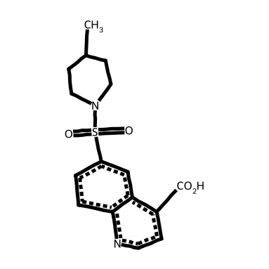 CC1CCN(S(=O)(=O)c2ccc3nccc(C(=O)O)c3c2)CC1